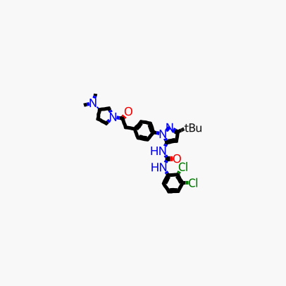 CN(C)[C@H]1CCN(C(=O)Cc2ccc(-n3nc(C(C)(C)C)cc3NC(=O)Nc3cccc(Cl)c3Cl)cc2)C1